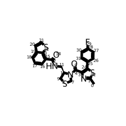 Cc1nc(C(=O)N2CSC[C@H]2CNC(=O)c2cccc3ccsc23)c(-c2ccc(F)cc2)s1